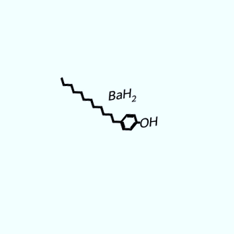 CCCCCCCCCCCCc1ccc(O)cc1.[BaH2]